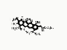 CCOC(=O)NCc1cc(N(C)C)c2c(c1O)C(=O)C1=C(O)C3(O)C(=O)C(C(N)=O)=C(O)C(N(C)C)C3CC1C2